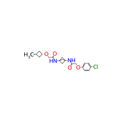 C[C@H]1C[C@H](OCC(=O)NC23CC(NC(=O)COc4ccc(Cl)cc4)(C2)C3)C1